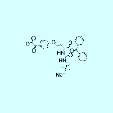 CC(C)(C)ONC(=O)NC(CCOc1ccc(C(=O)C(=O)[O-])cc1)C(=O)OC(c1ccccc1)c1ccccc1.[Na+]